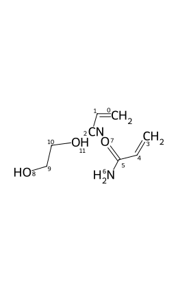 C=CC#N.C=CC(N)=O.OCCO